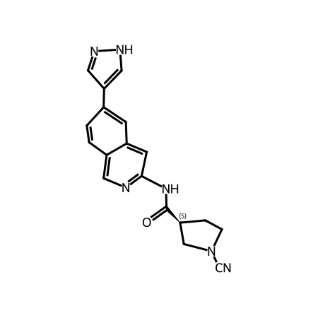 N#CN1CC[C@H](C(=O)Nc2cc3cc(-c4cn[nH]c4)ccc3cn2)C1